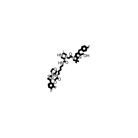 C[C@@H]1CN(CC(=O)N2CC(C)(C)c3nc(CO)c(Cc4ccc(F)cc4)cc32)[C@@H](C(=O)NCCCCCNC(=O)COc2c(-c3csc(N4CCOCC4)n3)ccc(F)c2F)CN1